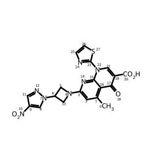 Cc1cc(N2CC(n3cc([N+](=O)[O-])cn3)C2)nc2c1c(=O)c(C(=O)O)cn2-c1nccs1